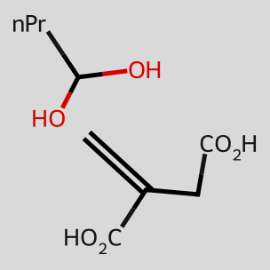 C=C(CC(=O)O)C(=O)O.CCCC(O)O